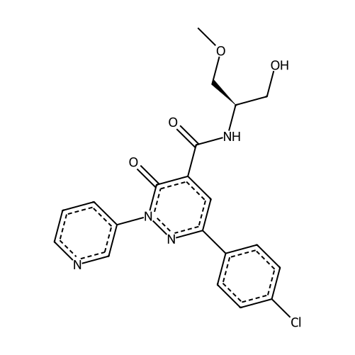 COC[C@@H](CO)NC(=O)c1cc(-c2ccc(Cl)cc2)nn(-c2cccnc2)c1=O